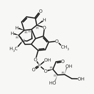 COC1=C2O[C@H]3C(=O)C=C[C@H]4[C@H]5CC(C(OP(=O)(O)O[C@@H](C=O)[C@@H](O)[C@H](O)CO)=C1)C2[C@@]34CCN5C